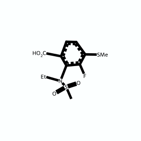 CCN(c1c(C(=O)O)ccc(SC)c1F)S(C)(=O)=O